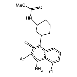 COC(=O)NC1CCCC(n2c(=O)c(C(C)=O)c(N)c3c(Cl)cccc32)C1